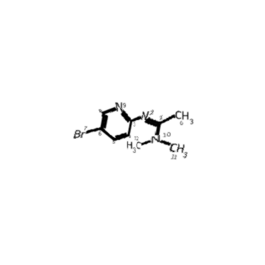 CC(=Nc1ccc(Br)cn1)N(C)C